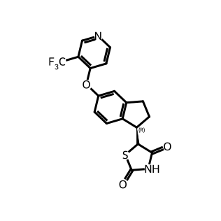 O=C1NC(=O)C([C@@H]2CCc3cc(Oc4ccncc4C(F)(F)F)ccc32)S1